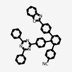 N#Cc1ccc(-c2cccc(-c3ccc(-c4nc5ccccc5o4)cc3)c2-c2ccc(-c3nc(-c4ccccc4)nc(-c4ccccc4)n3)cc2)cc1